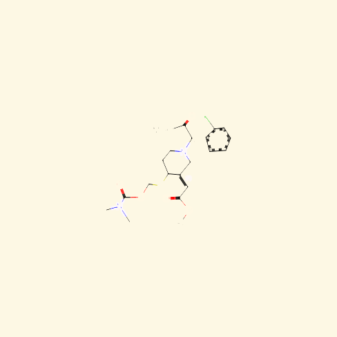 COC(=O)[C@H](c1ccccc1Cl)N1CCC(SCOC(=O)N(C)C)/C(=C\C(=O)OC(C)(C)C)C1